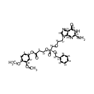 COc1ccc(OC(=O)CCOP(=O)(COCCn2cnc3c(=O)[nH]c(N)nc32)OCc2ccccc2)cc1OC